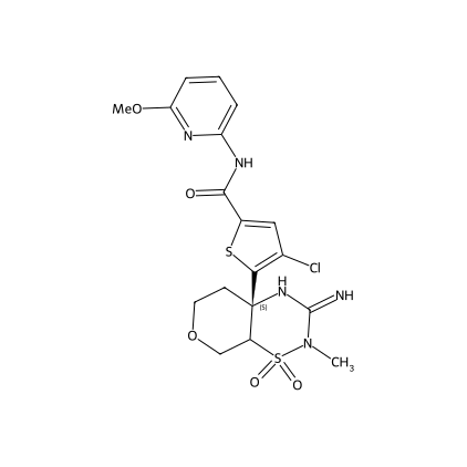 COc1cccc(NC(=O)c2cc(Cl)c([C@]34CCOCC3S(=O)(=O)N(C)C(=N)N4)s2)n1